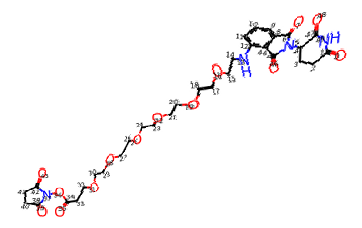 O=C1CCC(N2C(=O)c3cccc(NCCOCCOCCOCCOCCOCCOCCC(=O)ON4C(=O)CCC4=O)c3C2=O)C(=O)N1